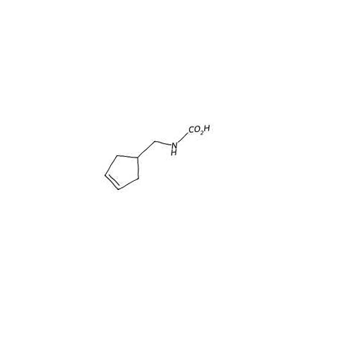 O=C(O)NCC1CC=CC1